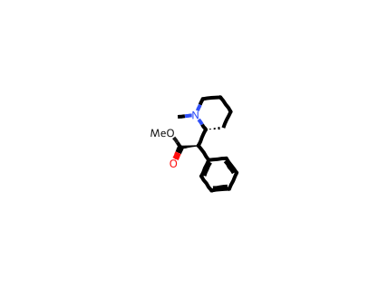 COC(=O)[C@H](c1ccccc1)[C@H]1CCCCN1C